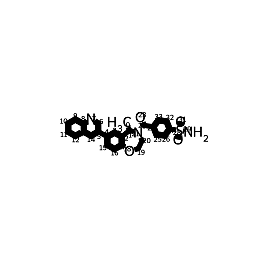 CC1c2cc(-c3cnc4ccccc4c3)ccc2OCCN1C(=O)c1ccc(S(N)(=O)=O)cc1